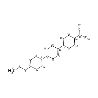 CCCC1CCC(C2CC=C(C3CCC(C(F)F)CC3)CC2)CC1